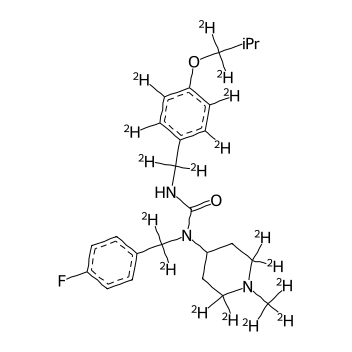 [2H]c1c([2H])c(C([2H])([2H])NC(=O)N(C2CC([2H])([2H])N(C([2H])([2H])[2H])C([2H])([2H])C2)C([2H])([2H])c2ccc(F)cc2)c([2H])c([2H])c1OC([2H])([2H])C(C)C